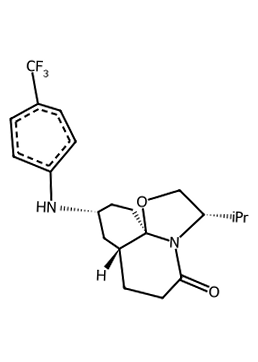 CC(C)[C@H]1CO[C@]23CC[C@@H](Nc4ccc(C(F)(F)F)cc4)C[C@H]2CCC(=O)N13